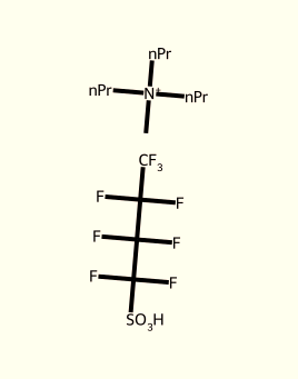 CCC[N+](C)(CCC)CCC.O=S(=O)(O)C(F)(F)C(F)(F)C(F)(F)C(F)(F)F